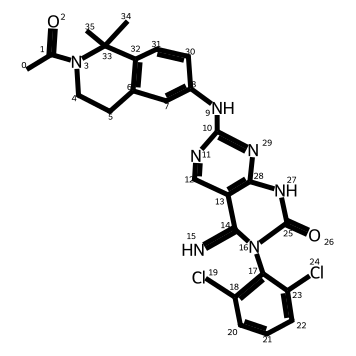 CC(=O)N1CCc2cc(Nc3ncc4c(=N)n(-c5c(Cl)cccc5Cl)c(=O)[nH]c4n3)ccc2C1(C)C